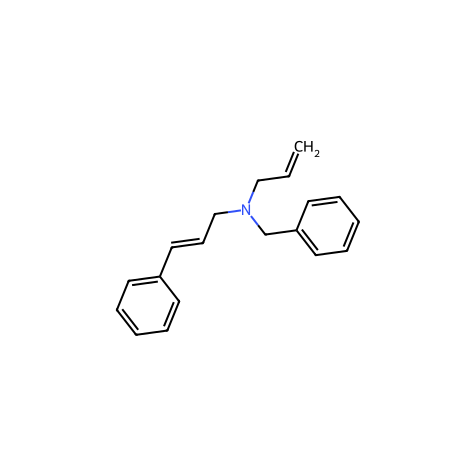 C=CCN(CC=Cc1ccccc1)Cc1ccccc1